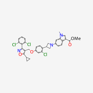 COC(=O)c1cn(C)c2cc(N3CC(c4ccc(OCc5c(-c6c(Cl)cccc6Cl)noc5C5CC5)cc4Cl)C3)ccc12